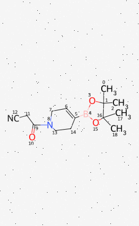 CC1(C)OB(C2=CCN(C(=O)CC#N)CC2)OC1(C)C